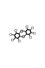 Clc1c(Cl)c(Cl)c(Cl)c(Cl)c1Cl.Clc1c(Cl)c(Cl)c(Cl)c(Cl)c1Cl